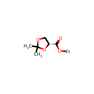 CCOC(=O)[C@H]1COC(C)(C)O1